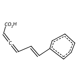 O=C(O)C=C=CC=Cc1ccccc1